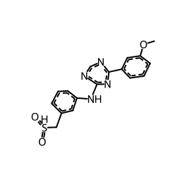 COc1cccc(-c2ncnc(Nc3cccc(C[SH](=O)=O)c3)n2)c1